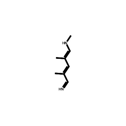 CN/C=C(C)/C=C(\C)C=N